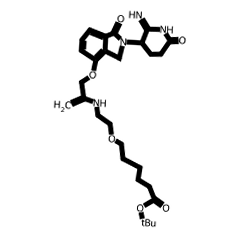 C=C(COc1cccc2c1CN(C1CCC(=O)NC1=N)C2=O)NCCOCCCCCC(=O)OC(C)(C)C